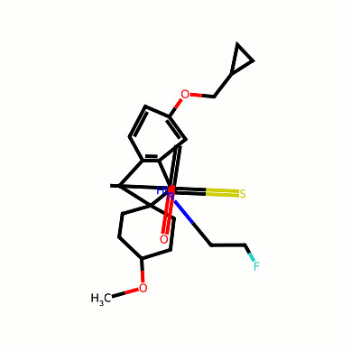 COC1CCC2(CC1)Cc1ccc(OCC3CC3)cc1C21NC(=S)N(CCF)C1=O